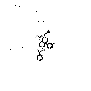 CC(=O)OC12CCC(NC(=O)c3ccccc3)CC1(c1cccc(O)c1)CCN(CC1CC1)C2